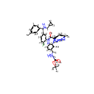 Cc1cccc(C(NCC2CC2)c2ccc(F)c(NC(=O)c3cc(C)nn3-c3cccc(CNC(=O)OC(C)(C)C)c3)c2)c1